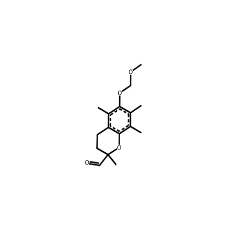 COCOc1c(C)c(C)c2c(c1C)CCC(C)(C=O)O2